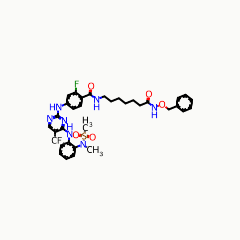 CN(c1ccccc1Nc1nc(Nc2ccc(C(=O)NCCCCCCC(=O)NOCc3ccccc3)c(F)c2)ncc1C(F)(F)F)S(C)(=O)=O